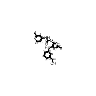 Cc1cc(NC(=O)Oc2nc(C)sc2Nc2cccc(CO)c2)ccn1